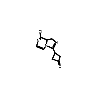 O=C1CC(C2=NCC3C(Cl)=NC=CN23)C1